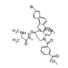 CN[C@@H](C)C(=O)NC[C@H]1CN(C(=O)c2cccc(C(C)=O)c2)c2ccccc2N(Cc2c(OC)ccc3cc(Br)ccc23)C1=O